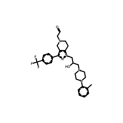 Cc1ccccc1N1CCN(CC(O)Cn2nc(-c3ccc(C(F)(F)F)cc3)c3c2CCN(CC=O)C3)CC1